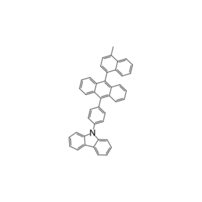 Cc1ccc(-c2c3ccccc3c(-c3ccc(-n4c5ccccc5c5ccccc54)cc3)c3ccccc23)c2ccccc12